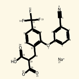 N#Cc1cccc(Oc2cc(C(F)(F)F)ccc2CC(C(=O)[O-])C(=O)O)c1.[Na+]